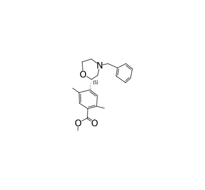 COC(=O)c1cc(C)c([C@H]2CN(Cc3ccccc3)CCO2)cc1C